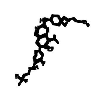 COCCN1CC2(CCC(Nc3ncc4cc(-c5ccc(NSCCC(F)(F)F)c(F)c5)c(=O)n(C(C)C)c4n3)CC2)C1